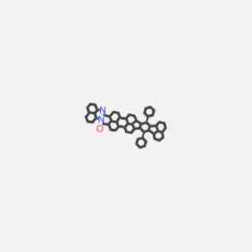 O=c1c2ccc3c4ccc5c6c(-c7ccccc7)c7c8cccc9cccc(c7c(-c7ccccc7)c6c6ccc(c7ccc(c2c37)c2nc3cccc7cccc(c73)n12)c4c56)c98